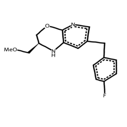 COC[C@H]1COc2ncc(Cc3ccc(F)cc3)cc2N1